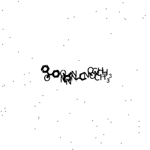 CC(C)(C)OC(=O)N1CCC(Cn2ncc3c(Oc4ccc(C(=O)c5ccccc5)cc4)ncnc32)CC1